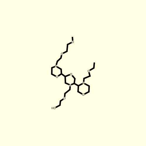 CCOCCN1CCOCC1C1COC(C2CN(CCOCCOC)CCO2)CN1CCOCCO